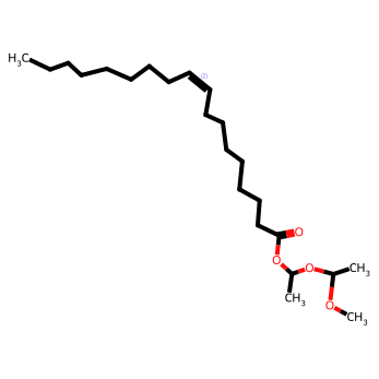 CCCCCCCC/C=C\CCCCCCCC(=O)OC(C)OC(C)OC